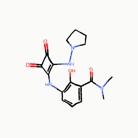 CN(C)C(=O)c1cccc(Nc2c(NN3CCCC3)c(=O)c2=O)c1O